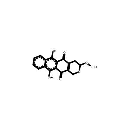 CC(=O)Oc1c2c(c(O)c3ccccc13)C(=O)C1=C(COC(OC=O)C1)C2=O